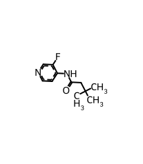 CC(C)(C)CC(=O)Nc1ccncc1F